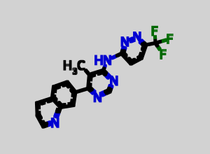 Cc1c(Nc2ccc(C(F)(F)F)nn2)ncnc1-c1ccc2cccnc2c1